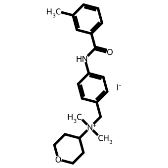 Cc1cccc(C(=O)Nc2ccc(C[N+](C)(C)C3CCOCC3)cc2)c1.[I-]